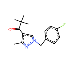 Cc1nn(Cc2ccc(F)cc2)cc1C(=O)C(C)(C)C